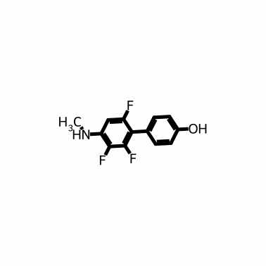 CNc1cc(F)c(-c2ccc(O)cc2)c(F)c1F